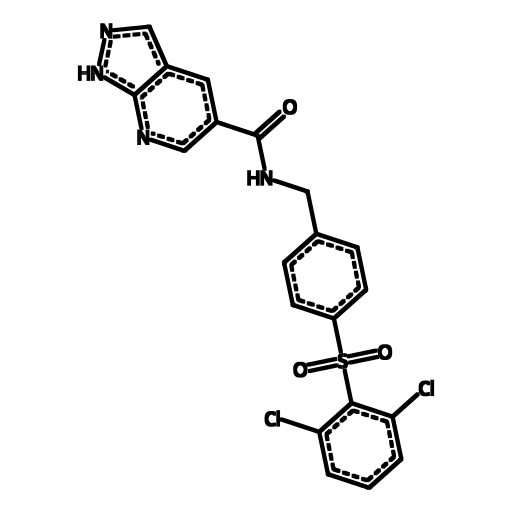 O=C(NCc1ccc(S(=O)(=O)c2c(Cl)cccc2Cl)cc1)c1cnc2[nH]ncc2c1